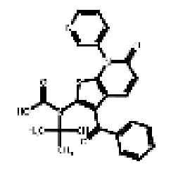 CC(C)(C)N(C(=O)O)c1sc2c(ccc(=O)n2-c2cccnc2)c1C(=O)c1ccccc1